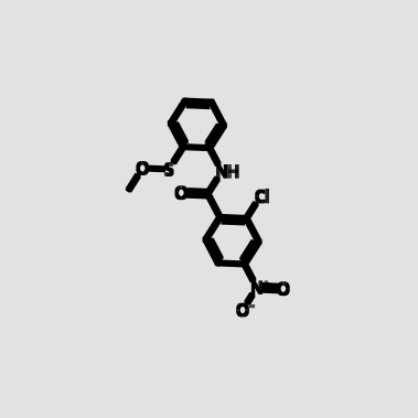 COSc1ccccc1NC(=O)c1ccc([N+](=O)[O-])cc1Cl